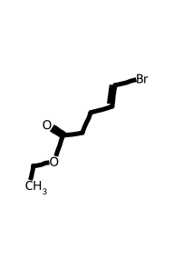 CCOC(=O)CCC=CBr